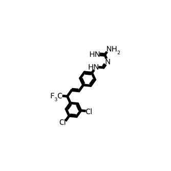 N=C(N)/N=C\Nc1ccc(/C=C/C(c2cc(Cl)cc(Cl)c2)C(F)(F)F)cc1